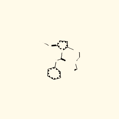 CCOC=O.Cc1csc(=NN)n1C(=O)Nc1ccccc1